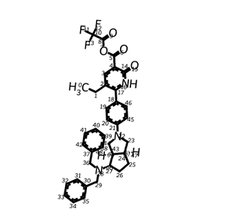 CCc1cc(C(=O)OC(=O)C(F)(F)F)c(=O)[nH]c1-c1ccc(N2C[C@H]3CC[C@@H](N(Cc4ccccc4)Cc4ccccc4)[C@H]3C2)cc1